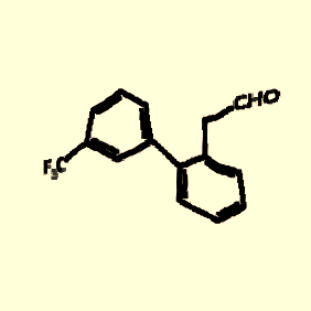 O=CCc1ccccc1-c1cccc(C(F)(F)F)c1